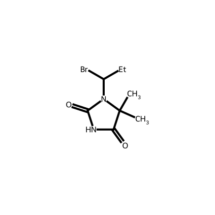 CCC(Br)N1C(=O)NC(=O)C1(C)C